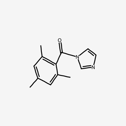 Cc1cc(C)c(C(=O)n2ccnc2)c(C)c1